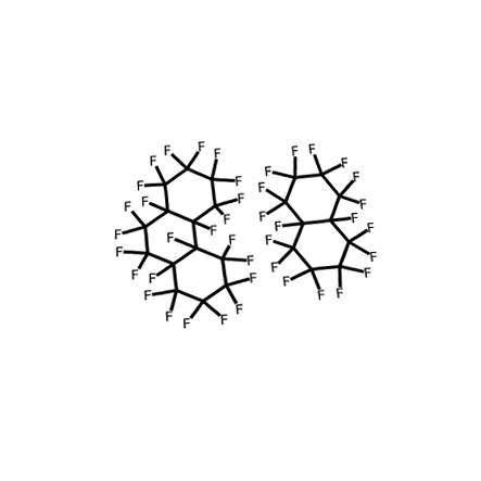 FC1(F)C(F)(F)C(F)(F)C2(F)C(F)(C1(F)F)C(F)(F)C(F)(F)C1(F)C(F)(F)C(F)(F)C(F)(F)C(F)(F)C12F.FC1(F)C(F)(F)C(F)(F)C2(F)C(F)(F)C(F)(F)C(F)(F)C(F)(F)C2(F)C1(F)F